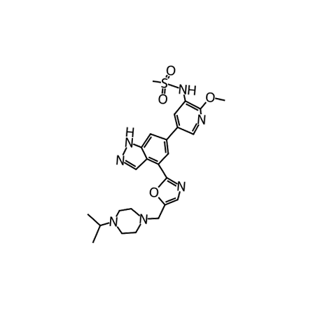 COc1ncc(-c2cc(-c3ncc(CN4CCN(C(C)C)CC4)o3)c3cn[nH]c3c2)cc1NS(C)(=O)=O